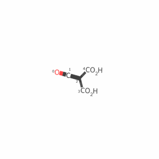 O=C=C(C(=O)O)C(=O)O